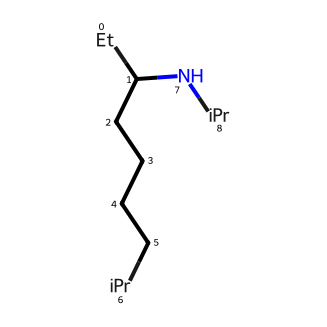 CCC(CCCCC(C)C)NC(C)C